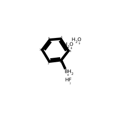 Bc1ccccc1.F.O.O